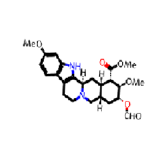 COC(=O)[C@H]1[C@H]2C[C@@H]3c4[nH]c5cc(OC)ccc5c4CCN3C[C@H]2C[C@@H](OC=O)[C@@H]1OC